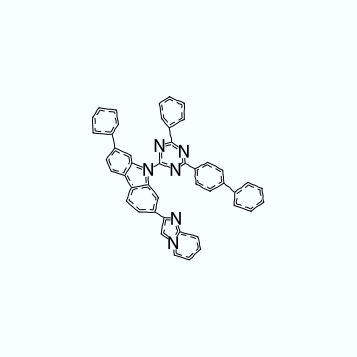 c1ccc(-c2ccc(-c3nc(-c4ccccc4)nc(-n4c5cc(-c6ccccc6)ccc5c5ccc(-c6cn7ccccc7n6)cc54)n3)cc2)cc1